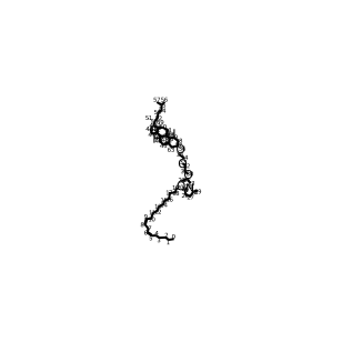 CCCCC/C=C\C/C=C\CCCCCCCCCCOCC(CN1CCCC1C)OCCOCCO[C@H]1CC[C@@]2(C)C(=CC[C@H]3[C@@H]4CC[C@H]([C@H](C)CCCC(C)C)[C@@]4(C)CC[C@@H]32)C1